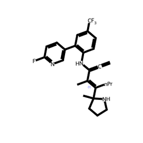 C=C=C(Nc1ccc(C(F)(F)F)cc1-c1ccc(F)nc1)/C(C)=C(\CCC)C1(C)CCCN1